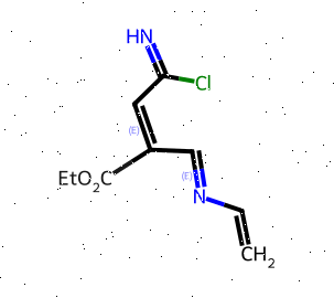 C=C/N=C/C(=C\C(=N)Cl)C(=O)OCC